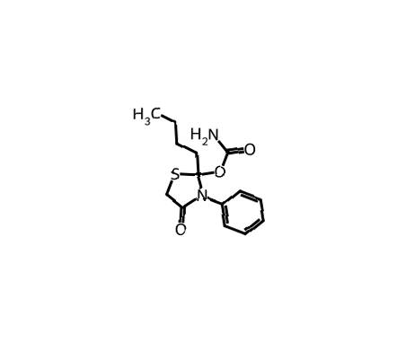 CCCCC1(OC(N)=O)SCC(=O)N1c1ccccc1